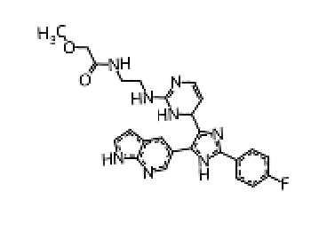 COCC(=O)NCCNC1=NC=CC(c2nc(-c3ccc(F)cc3)[nH]c2-c2cnc3[nH]ccc3c2)N1